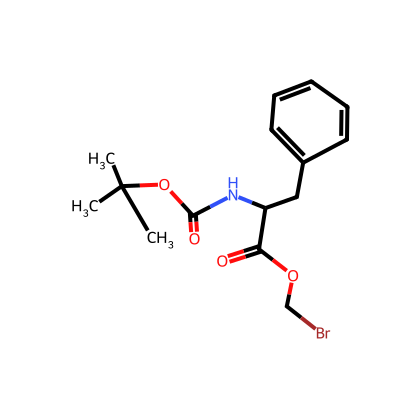 CC(C)(C)OC(=O)NC(Cc1ccccc1)C(=O)OCBr